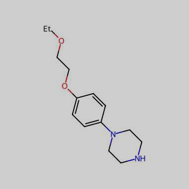 CCOCCOc1ccc(N2CCNCC2)cc1